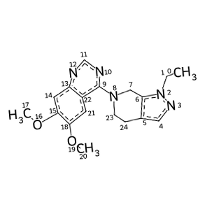 CCn1ncc2c1CN(c1ncnc3cc(OC)c(OC)cc13)CC2